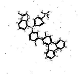 Cc1ccc(N(c2ccc([Si](C)(C)C)cc2)c2cccc3c(C)coc23)cc1-c1cc2c3ccccc3c3ccccc3c2cc1C